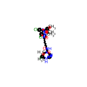 COc1ccc(C2=N[C@H](c3ccc(Cl)cc3)[C@H](c3ccc(Cl)cc3)N2C(=O)N2CCN(CCCCCCCCC(=O)NCCN3C[C@H](C)Oc4ccc(F)cc4C(C)Nc4ccn5ncc(c5n4)C3=O)C(=O)C2)c(OC(C)C)c1